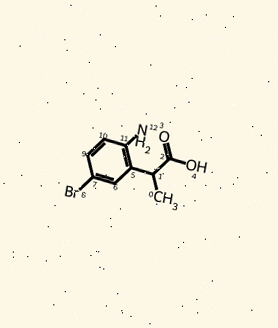 CC(C(=O)O)c1cc(Br)ccc1N